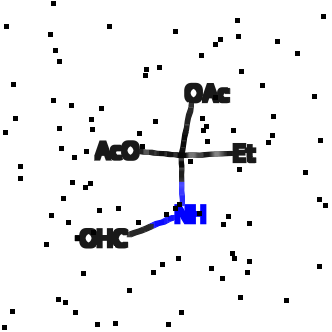 CCC(N[C]=O)(OC(C)=O)OC(C)=O